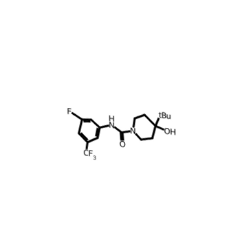 CC(C)(C)C1(O)CCN(C(=O)Nc2cc(F)cc(C(F)(F)F)c2)CC1